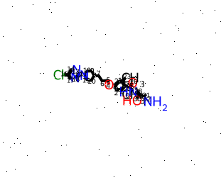 Cc1cc(OCCCC2CCN(c3ncc(Cl)cn3)CC2)cc(C)c1C(=O)NC[C@@H](O)CN